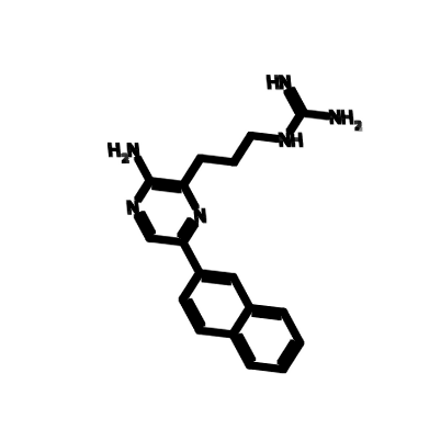 N=C(N)NCCCc1nc(-c2ccc3ccccc3c2)cnc1N